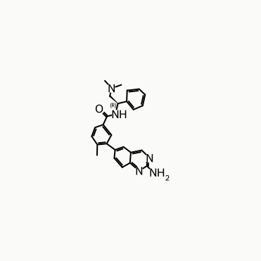 Cc1ccc(C(=O)N[C@@H](CN(C)C)c2ccccc2)cc1-c1ccc2nc(N)ncc2c1